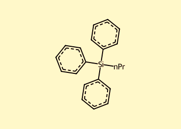 CCC[Si](c1ccccc1)(c1ccccc1)c1ccccc1